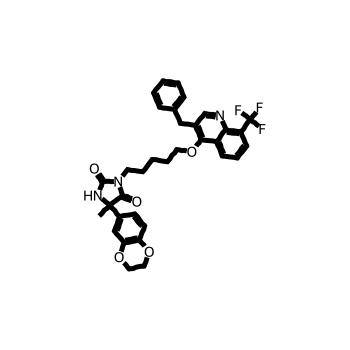 CC1(c2ccc3c(c2)OCCO3)NC(=O)N(CCCCCOc2c(Cc3ccccc3)cnc3c(C(F)(F)F)cccc23)C1=O